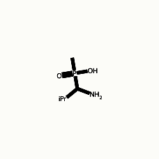 CC(C)C(N)P(C)(=O)O